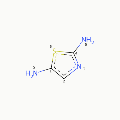 Nc1cnc(N)s1